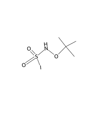 CC(C)(C)ONS(=O)(=O)I